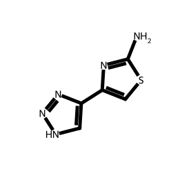 Nc1nc(-c2c[nH]nn2)cs1